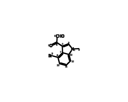 Cn1cc(C(=O)C=O)c2c(Br)cccc21